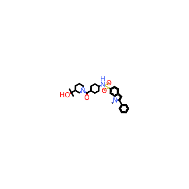 Cn1c(-c2ccccc2)cc2ccc(S(=O)(=O)NC3CCC(C(=O)N4CCCC(C(C)(C)O)C4)CC3)cc21